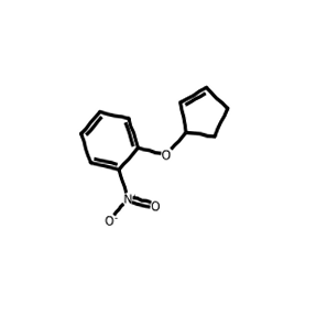 O=[N+]([O-])c1ccccc1OC1C=CCC1